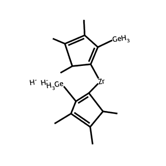 CC1=C(C)C(C)[C]([Zr][C]2=[C]([GeH3])C(C)=C(C)C2C)=[C]1[GeH3].[H-].[H-]